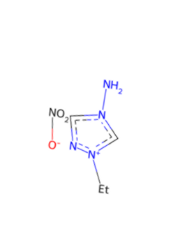 CC[n+]1cn(N)cn1.O=[N+]([O-])[O-]